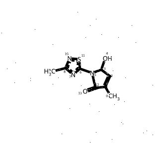 CC1=CC(O)N(c2nc(C)ns2)C1=O